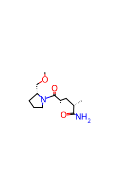 COC[C@H]1CCCN1C(=O)[CH]C[C@H](C)C(N)=O